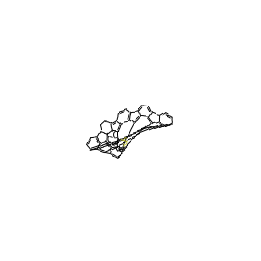 C1=CC2c3ccc4c5ccc6c7c8c9c%10c%11c%12c(ccc%13c1c1c2c2c3c4c(c75)c9c2c%10c1c%13%12)C1CCC=6C82Cc3sccc3CC%1112